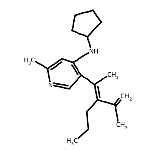 C=C(C)/C(CCC)=C(\C)c1cnc(C)cc1NC1CCCC1